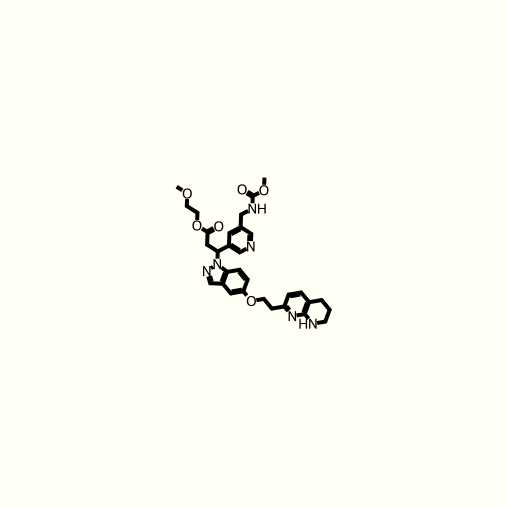 COCCOC(=O)CC(c1cncc(CNC(=O)OC)c1)n1ncc2cc(OCCc3ccc4c(n3)NCCC4)ccc21